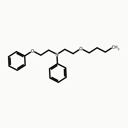 CCCCOCCN(CCOc1ccccc1)c1ccccc1